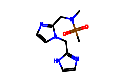 CN(Cc1nccn1Cc1ncc[nH]1)S(C)(=O)=O